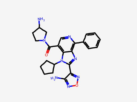 Nc1nonc1-c1nc2c(-c3ccccc3)ncc(C(=O)N3CCC(N)C3)c2n1C1CCCC1